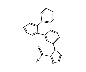 NC(=O)c1ncnn1-c1cccc(-c2ccccc2-c2ccccc2)c1